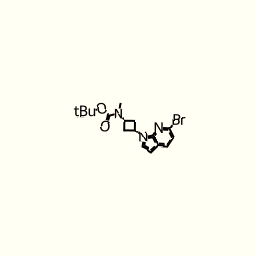 CN(C(=O)OC(C)(C)C)[C@H]1C[C@@H](n2ccc3ccc(Br)nc32)C1